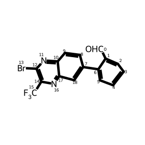 O=Cc1ccccc1-c1ccc2nc(Br)c(C(F)(F)F)nc2c1